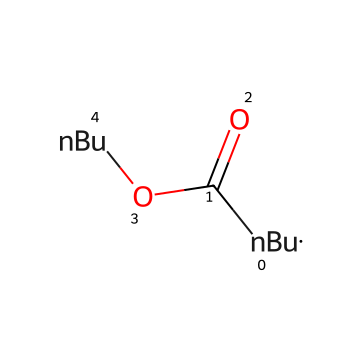 CCC[CH]C(=O)OCCCC